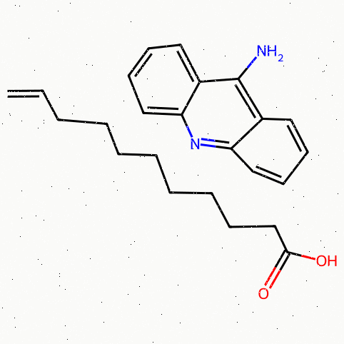 C=CCCCCCCCCC(=O)O.Nc1c2ccccc2nc2ccccc12